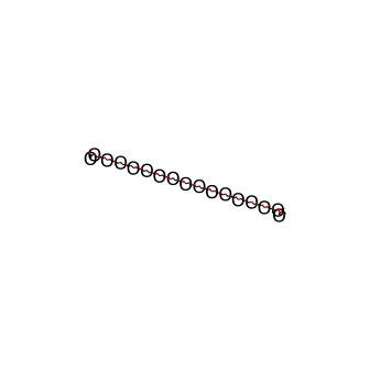 C=C(C)C(=O)OCCCCOCCCCOCCCCOCCCCOCCCCOCCCCOCCCCOCCCCOCCCCOCCCCOCCCCOCCCCOCCCCOCCCCOC(=O)C(=C)C